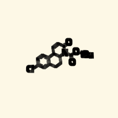 CC(C)(C)OC(=O)N1C(=O)C=CC2c3ccc(Cl)cc3CCC21